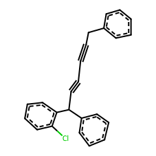 Clc1ccccc1C(C#CC#CCc1ccccc1)c1ccccc1